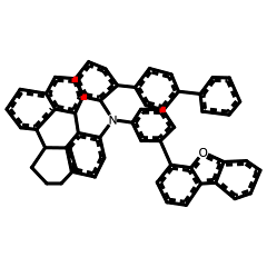 c1ccc(-c2ccc(-c3ccccc3N(c3cccc(-c4cccc5c4oc4ccccc45)c3)c3ccccc3-c3cccc4cccc(C5CCCCC5)c34)cc2)cc1